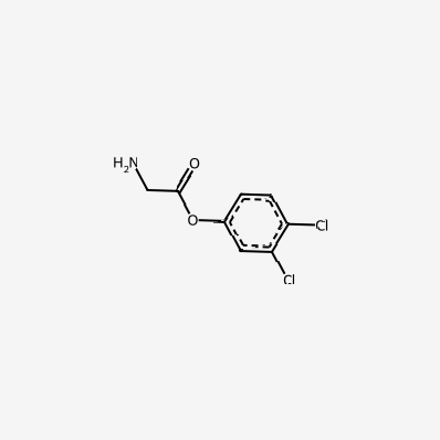 NCC(=O)Oc1ccc(Cl)c(Cl)c1